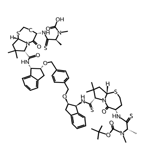 C[C@@H](C(=S)N[C@H]1CCS[C@H]2CC(C)(C)[C@@H](C(=O)N[C@H]3c4ccccc4C[C@H]3OCc3ccc(CO[C@@H]4Cc5ccccc5[C@@H]4NC(=S)[C@H]4N5C(=O)[C@@H](NC(=S)[C@H](C)N(C)C(=O)OC(C)(C)C)CCS[C@H]5CC4(C)C)cc3)N2C1=O)N(C)C(=O)O